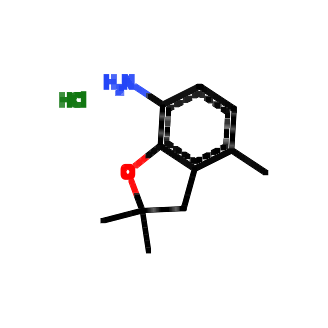 Cc1ccc(N)c2c1CC(C)(C)O2.Cl